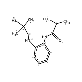 CC(C)C(=O)Nc1ccccc1NCC(C)(C)S